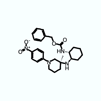 C[C@]1(N[C@@H]2CCCC[C@H]2NC(=O)OCc2ccccc2)CCCN(c2ccc([N+](=O)[O-])cc2)C1